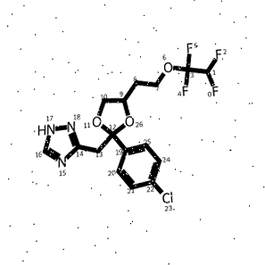 FC(F)C(F)(F)OCCC1COC(Cc2nc[nH]n2)(c2ccc(Cl)cc2)O1